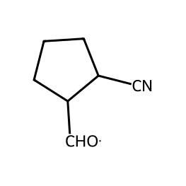 N#CC1CCCC1[C]=O